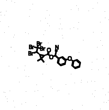 CC1(C)[C@H](C(=O)OC(C#N)c2cccc(Oc3ccccc3)c2)[C@@H]1C(Br)C(Br)(Br)Br